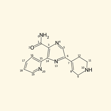 NC(=O)c1ncc(C2=CCNCC2)nc1-c1ccccn1